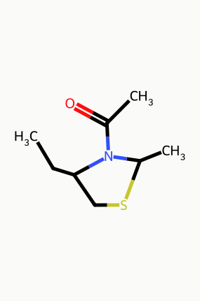 CCC1CSC(C)N1C(C)=O